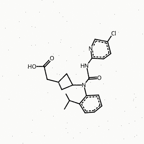 CC(C)c1ccccc1N(C(=O)Nc1ccc(Cl)cn1)C1CC(CC(=O)O)C1